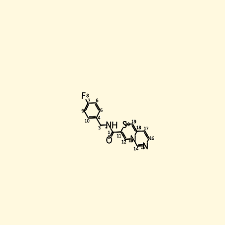 O=C(NCc1ccc(F)cc1)C1=CN2C=NC=CC2=CS1